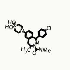 CNC(=O)N1N=C(c2ccc(Cl)cc2)c2ccc(N3CCS(O)(O)CC3)cc2CC1C